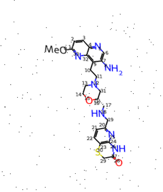 COc1ccc2ncc(N)c(CCN3CCO[C@@H](CNCc4ccc5c(n4)NC(=O)CS5)C3)c2n1